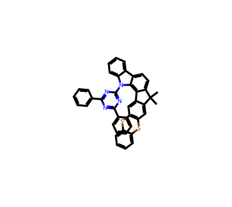 CC1(C)c2cc3c(cc2-c2c1ccc1c4ccccc4n(-c4nc(-c5ccccc5)nc(-c5ccccc5)n4)c21)Sc1ccccc1S3